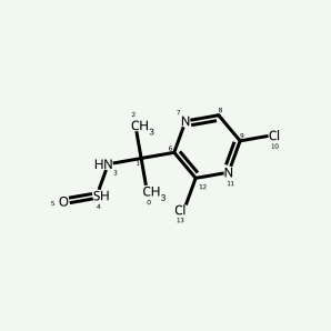 CC(C)(N[SH]=O)c1ncc(Cl)nc1Cl